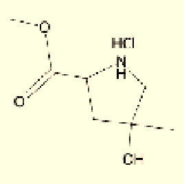 COC(=O)C1CC(C)(O)CN1.Cl